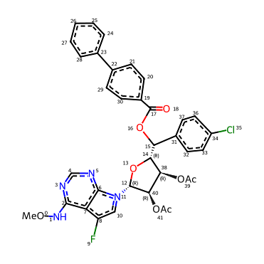 CONc1ncnc2c1c(F)cn2[C@@H]1O[C@H](C(OC(=O)c2ccc(-c3ccccc3)cc2)c2ccc(Cl)cc2)[C@@H](OC(C)=O)[C@H]1OC(C)=O